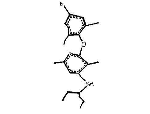 CCC(CC)Nc1cc(C)nc(Oc2c(C)cc(Br)cc2C)c1C